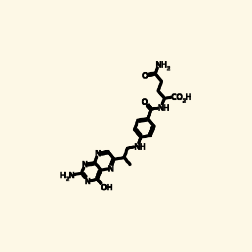 CC(CNc1ccc(C(=O)NC(CCC(N)=O)C(=O)O)cc1)c1cnc2nc(N)nc(O)c2n1